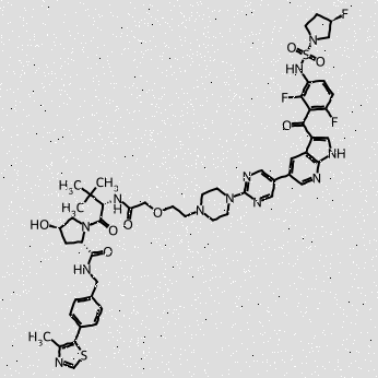 Cc1ncsc1-c1ccc(CNC(=O)[C@@H]2C[C@@H](O)CN2C(=O)[C@@H](NC(=O)COCCN2CCN(c3ncc(-c4cnc5[nH]cc(C(=O)c6c(F)ccc(NS(=O)(=O)N7CC[C@@H](F)C7)c6F)c5c4)cn3)CC2)C(C)(C)C)cc1